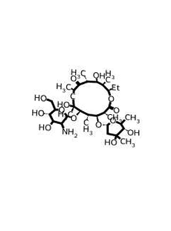 CC[C@H]1OC(=O)[C@H](C)[C@@H](O[C@H]2CC(C)(O)[C@@H](O)C(C)O2)[C@H](C)[C@@H](O[C@@H]2OC(CO)[C@@H](O)C(O)C2N)[C@](C)(O)C[C@@H](C)C(=O)[C@H](C)[C@@H](O)[C@H]1C